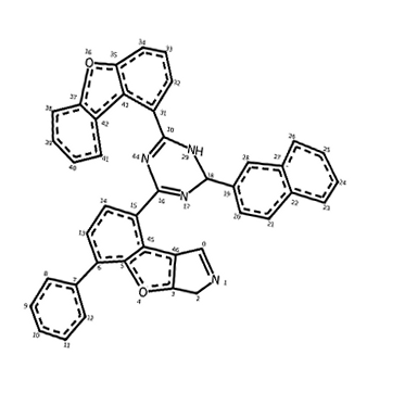 C1=NCc2oc3c(-c4ccccc4)ccc(C4=NC(c5ccc6ccccc6c5)NC(c5cccc6oc7ccccc7c56)=N4)c3c21